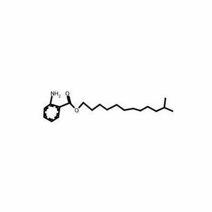 CC(C)CCCCCCCCCCOC(=O)c1ccccc1N